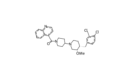 CO[C@@H]1CN(C2CCN(C(=O)c3ccnc4ccccc34)CC2)CC[C@@H]1Cc1ccc(Cl)c(Cl)c1